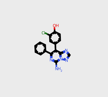 Nc1nc(-c2ccccc2)c(-c2ccc(O)c(Cl)c2)c2ncnn12